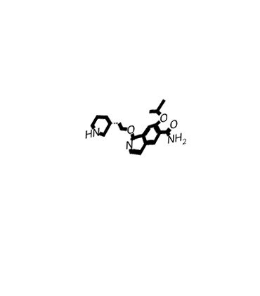 CC(C)Oc1cc2c(OCC[C@H]3CCCNC3)nccc2cc1C(N)=O